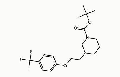 CC(C)(C)OC(=O)N1CCCC(CCOc2ccc(C(F)(F)F)cc2)C1